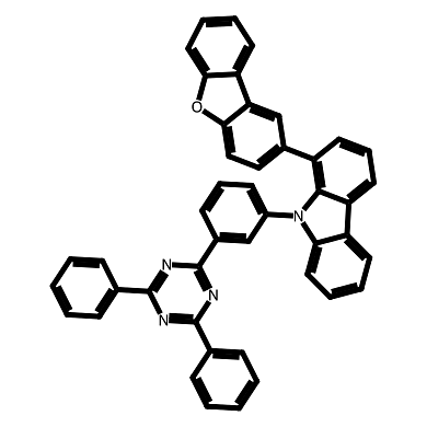 c1ccc(-c2nc(-c3ccccc3)nc(-c3cccc(-n4c5ccccc5c5cccc(-c6ccc7oc8ccccc8c7c6)c54)c3)n2)cc1